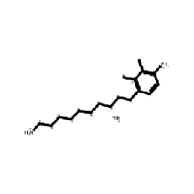 Br.Cc1c(P)ccc(CCCCCCCCCCN)c1C